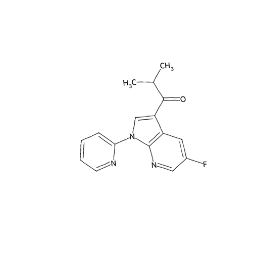 CC(C)C(=O)c1cn(-c2ccccn2)c2ncc(F)cc12